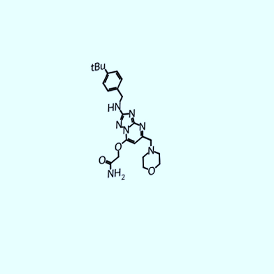 CC(C)(C)c1ccc(CNc2nc3nc(CN4CCOCC4)cc(OCC(N)=O)n3n2)cc1